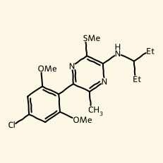 CCC(CC)Nc1nc(C)c(-c2c(OC)cc(Cl)cc2OC)nc1SC